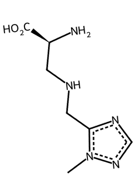 Cn1ncnc1CNC[C@H](N)C(=O)O